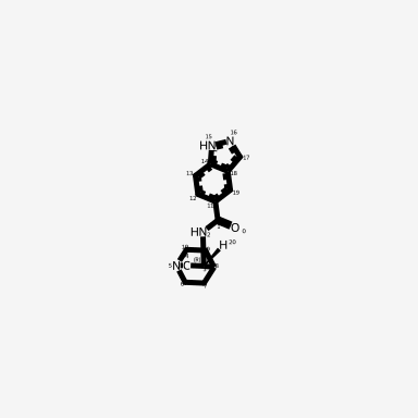 O=C(N[C@H]1CN2CCC1CC2)c1ccc2[nH]ncc2c1